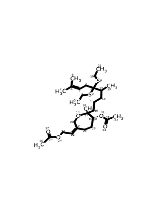 CCSC(CC=C(C)C)(SCC)C(C)CCC[C@]1(C)OCC(=CCOC(C)=O)CC[C@H]1OC(C)=O